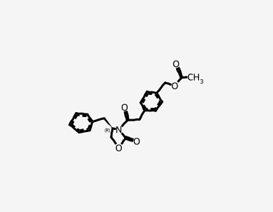 CC(=O)OCc1ccc(CC(=O)N2C(=O)OC[C@H]2Cc2ccccc2)cc1